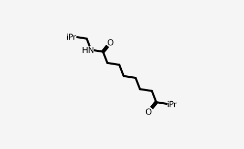 CC(C)CNC(=O)CCCCCCC(=O)C(C)C